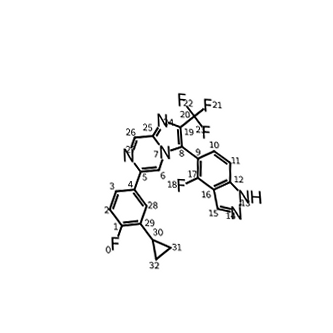 Fc1ccc(-c2cn3c(-c4ccc5[nH]ncc5c4F)c(C(F)(F)F)nc3cn2)cc1C1CC1